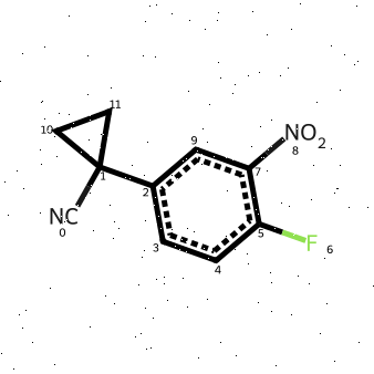 N#CC1(c2ccc(F)c([N+](=O)[O-])c2)CC1